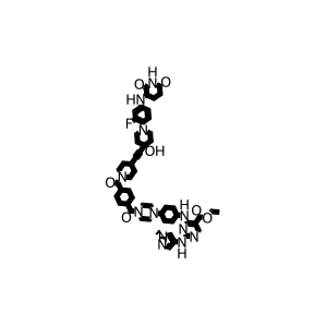 CCOC(=O)c1cnc(Nc2cnn(C)c2)nc1NC1CCC(N2CCN(C(=O)C3CCC(C(=O)N4CCC(C#CC5(O)CCN(c6ccc(NC7CCC(=O)NC7=O)cc6F)CC5)CC4)CC3)CC2)CC1